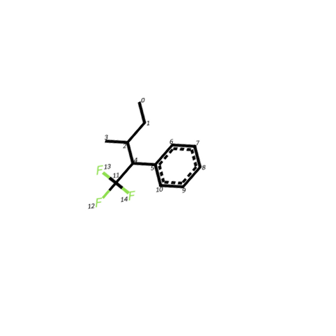 CCC(C)C(c1ccccc1)C(F)(F)F